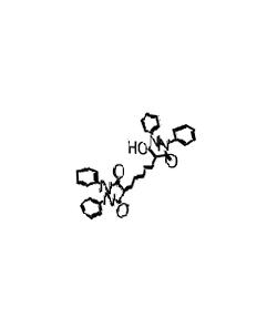 O=C1C(=CC=CC=Cc2c(O)n(-c3ccccc3)n(-c3ccccc3)c2=O)C(=O)N(c2ccccc2)N1c1ccccc1